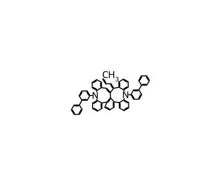 C/C=C\C=c1/c2cc3ccccc3n(-c3cccc(-c4ccccc4)c3)c3ccccc3c3cccc(c4ccccc4n(-c4cccc(-c5ccccc5)c4)c4ccccc14)c23